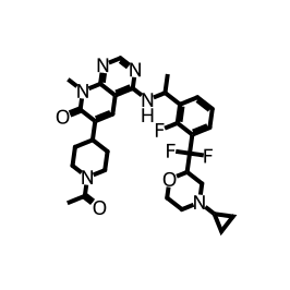 CC(=O)N1CCC(c2cc3c(NC(C)c4cccc(C(F)(F)C5CN(C6CC6)CCO5)c4F)ncnc3n(C)c2=O)CC1